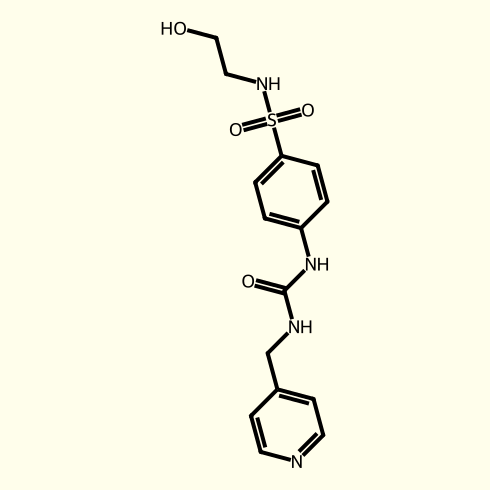 O=C(NCc1ccncc1)Nc1ccc(S(=O)(=O)NCCO)cc1